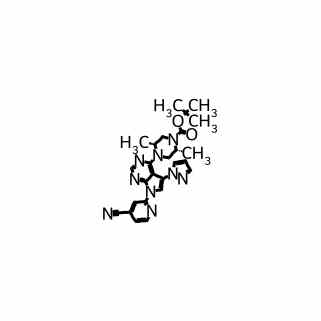 C[C@@H]1CN(c2ncnc3c2c(-n2cccn2)cn3-c2cc(C#N)ccn2)[C@@H](C)CN1C(=O)OC(C)(C)C